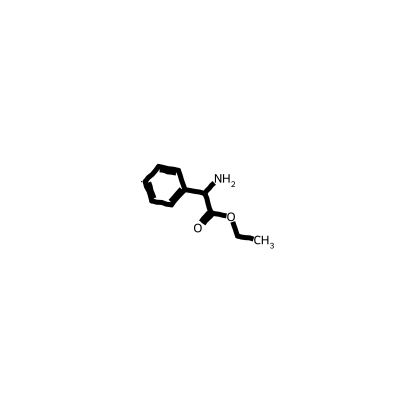 CCOC(=O)C(N)c1cc[c]cc1